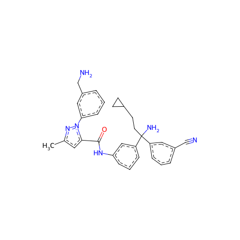 Cc1cc(C(=O)Nc2cccc(C(N)(CCC3CC3)c3cccc(C#N)c3)c2)n(-c2cccc(CN)c2)n1